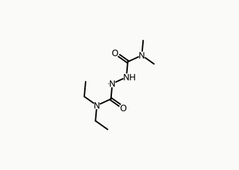 CCN(CC)C(=O)[N]NC(=O)N(C)C